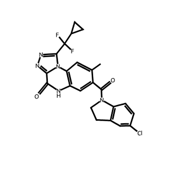 Cc1cc2c(cc1C(=O)N1CCc3cc(Cl)ccc31)[nH]c(=O)c1nnc(C(F)(F)C3CC3)n12